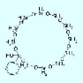 O[Si]1(c2ccccc2)O[SiH2]O[SiH2]O[SiH2]O[SiH2]O[SiH2]O[SiH2]O[SiH2]O[SiH2]O[SiH2]O[SiH2]O[SiH2]O1